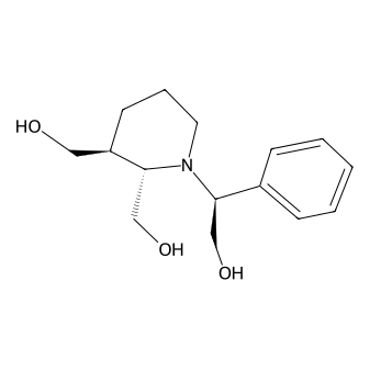 OC[C@H]1CCCN([C@H](CO)c2ccccc2)[C@@H]1CO